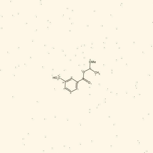 COC(C)OC(=O)c1cccc(C(=O)O)c1